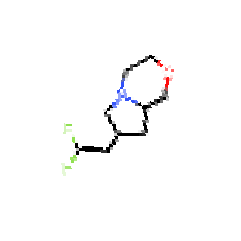 FC(F)=CC1CC2COCCN2C1